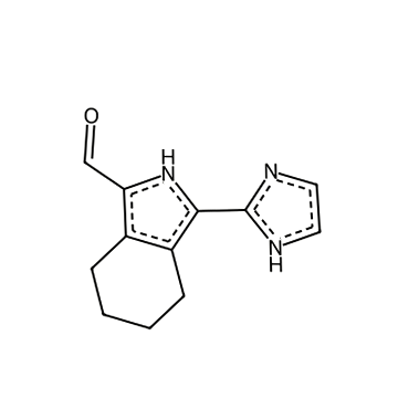 O=Cc1[nH]c(-c2ncc[nH]2)c2c1CCCC2